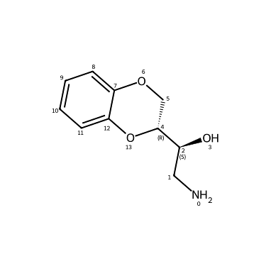 NC[C@H](O)[C@H]1COc2ccccc2O1